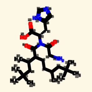 CC(CCC(C(=O)N(C(=O)CN)[C@@H](Cc1cnc[nH]1)C(=O)O)C(C)CC(C)(C)C)CC(C)(C)C